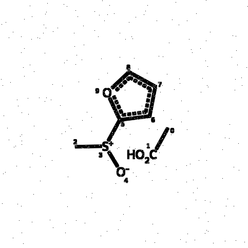 CC(=O)O.C[S+]([O-])c1ccco1